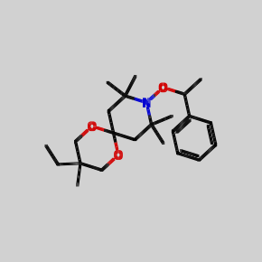 CCC1(C)COC2(CC(C)(C)N(OC(C)c3ccccc3)C(C)(C)C2)OC1